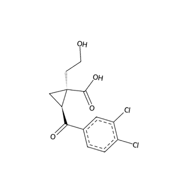 O=C(c1ccc(Cl)c(Cl)c1)[C@H]1C[C@@]1(CCO)C(=O)O